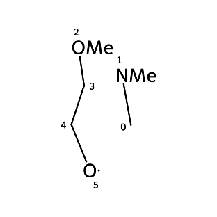 CNC.COCC[O]